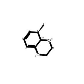 C[C@@H]1C=CC=C2OCCOC21